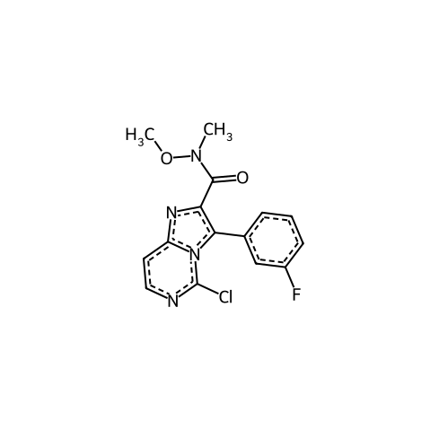 CON(C)C(=O)c1nc2ccnc(Cl)n2c1-c1cccc(F)c1